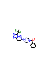 CC(F)(F)c1nnc2ccc(N3CCN(C(=O)c4ccccc4)CC3)nn12